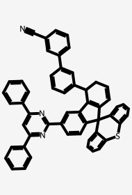 N#Cc1cccc(-c2cccc(C3CC=CC4=C3c3cc(-c5nc(-c6ccccc6)cc(-c6ccccc6)n5)ccc3C43c4ccccc4Sc4ccccc43)c2)c1